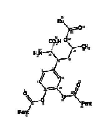 CCCC(C)C(=O)Oc1ccc(C(CC(C)OC(=O)C(C)CC)[C@H](N)C(=O)O)cc1OC(=O)C(C)CCC